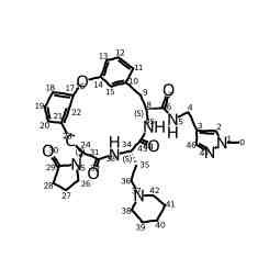 Cn1cc(CNC(=O)[C@@H]2Cc3cccc(c3)Oc3cccc(c3)C[C@H](N3CCCC3=O)C(=O)N[C@@H](CCN3CCCCC3)C(=O)N2)cn1